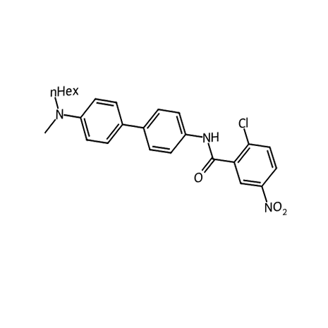 CCCCCCN(C)c1ccc(-c2ccc(NC(=O)c3cc([N+](=O)[O-])ccc3Cl)cc2)cc1